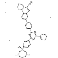 CCC1(c2ccc(-c3nc(-c4ccccc4)nc(-c4ccc(-c5ccc6c(c5)cc(C#N)c5ccccc56)cc4)n3)cc2)C[C@H](C)CC[C@H](C)C1